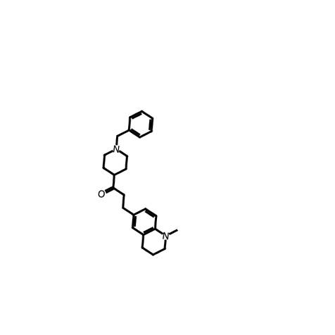 CN1CCCc2cc(CCC(=O)C3CCN(Cc4ccccc4)CC3)ccc21